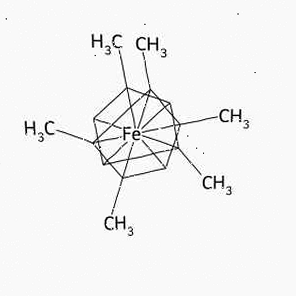 C[C]12[CH]3[CH]4[C]5(C)[CH]1[Fe]34251678[CH]2[C]1(C)[C]6(C)[C]7(C)[C]28C